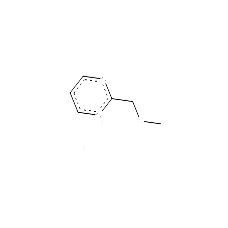 CNCc1ncccn1.Cl.Cl